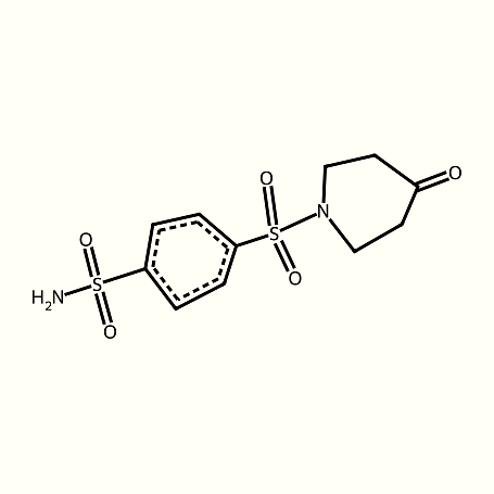 NS(=O)(=O)c1ccc(S(=O)(=O)N2CCC(=O)CC2)cc1